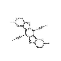 CC#Cc1c2sc3ccc(C)cc3c2c(C#CC)c2sc3ccc(C)cc3c12